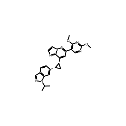 COc1ncc(-c2cc([C@H]3C[C@@H]3c3ccc4cnn(C(C)C)c4c3)c3nccn3n2)c(OC)n1